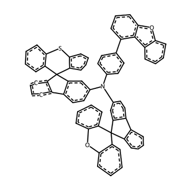 c1ccc2c(c1)Oc1ccccc1C21c2ccccc2-c2ccc(N(c3ccc(-c4cccc5oc6ccccc6c45)cc3)c3ccc4c(c3)C3(c5ccccc5Sc5ccccc53)c3ccccc3-4)cc21